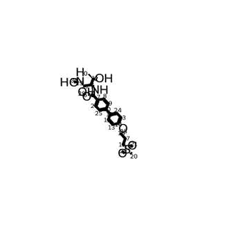 C[C@@H](O)[C@H](NC(=O)c1ccc(-c2ccc(OCCCS(C)(=O)=O)cc2)cc1)C(O)NO